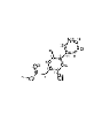 COC(=O)Cc1cc(C)c(-c2cccnc2)cc1Cl